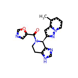 Cc1cccn2nc([C@H]3c4nc[nH]c4CCN3C(=O)c3cnco3)cc12